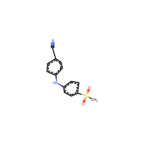 CS(=O)(=O)c1ccc(Nc2ccc(C#N)cc2)cc1